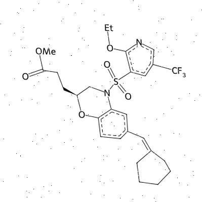 CCOc1ncc(C(F)(F)F)cc1S(=O)(=O)N1C[C@H](CCC(=O)OC)Oc2ccc(C=C3CCCCC3)cc21